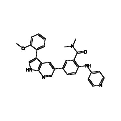 COc1ccccc1-c1c[nH]c2ncc(-c3ccc(Nc4ccncc4)c(C(=O)N(C)C)c3)cc12